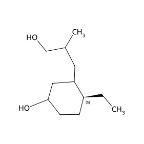 CC[C@H]1CCC(O)CC1CC(C)CO